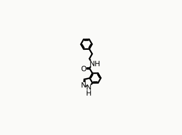 O=C(NCCc1ccccc1)c1cccc2[nH]ncc12